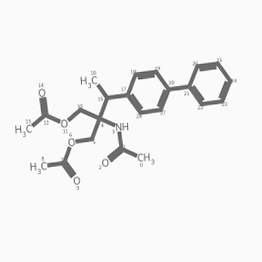 CC(=O)NC(COC(C)=O)(COC(C)=O)C(C)c1ccc(-c2ccccc2)cc1